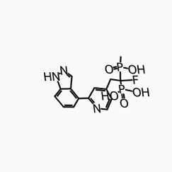 CP(=O)(O)C(F)(Cc1ccnc(-c2cccc3[nH]ncc23)c1)P(=O)(O)O